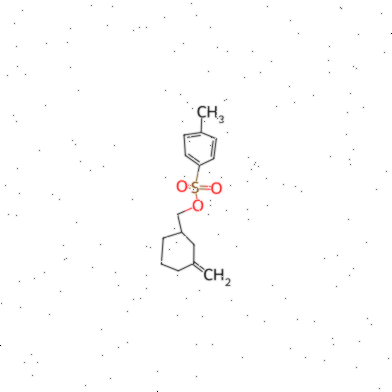 C=C1CCCC(COS(=O)(=O)c2ccc(C)cc2)C1